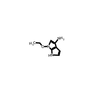 CCOn1cc(N)c2cc[nH]c21